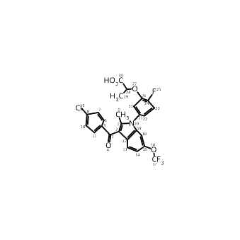 Cc1c(C(=O)c2ccc(Cl)cc2)c2ccc(OC(F)(F)F)cc2n1-c1ccc(F)c(OC(C)C(=O)O)c1